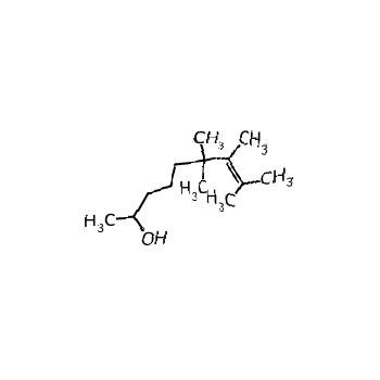 CC(C)=C(C)C(C)(C)CCCC(C)O